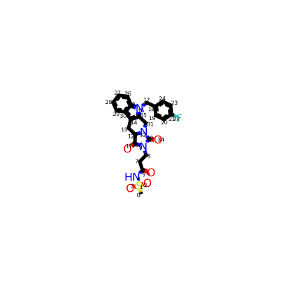 CS(=O)(=O)NC(=O)CCN1C(=O)C2Cc3c(n(Cc4ccc(F)cc4)c4ccccc34)CN2C1=O